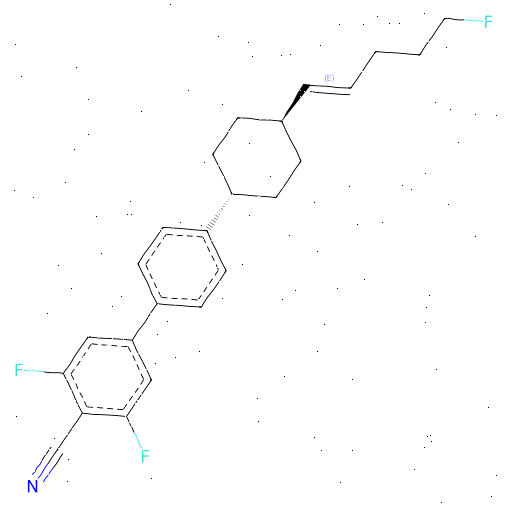 N#Cc1c(F)cc(-c2ccc([C@H]3CC[C@H](/C=C/CCCF)CC3)cc2)cc1F